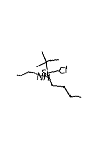 CCCC[Si](Cl)(NCC)C(C)(C)C